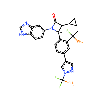 CC(F)(P)c1cc(-c2cnn(C(F)(F)P)c2)ccc1[C@@H]1C(C2CC2)C(=O)N1c1ccc2[nH]cnc2c1